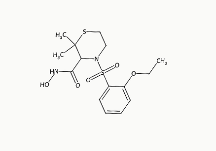 CCOc1ccccc1S(=O)(=O)N1CCSC(C)(C)C1C(=O)NO